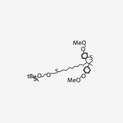 COCOc1ccc(C2(C)CSc3cc(OCOC)ccc3C2CCCCCCCCCSCCOCCO[Si](C)(C)C(C)(C)C)cc1